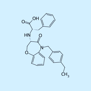 CCc1ccc(CN2C(=O)[C@@H](N[C@@H](Cc3ccccc3)C(=O)O)COc3ccccc32)cc1